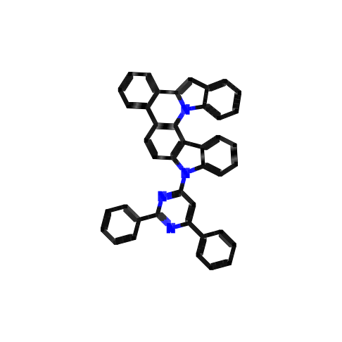 c1ccc(-c2cc(-n3c4ccccc4c4c3ccc3c5ccccc5c5cc6ccccc6n5c34)nc(-c3ccccc3)n2)cc1